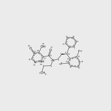 CCCN(CC[C@@H](c1ccccc1)c1c(F)cccc1F)C(=O)c1[nH]ncc(=O)c1O